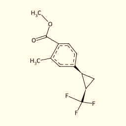 COC(=O)c1ccc([C@H]2C[C@H]2C(F)(F)F)cc1C